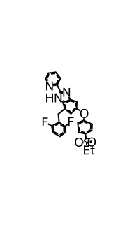 CCS(=O)(=O)c1ccc(Oc2cc(Cc3c(F)cccc3F)c3[nH]c(-c4ccccn4)nc3c2)cc1